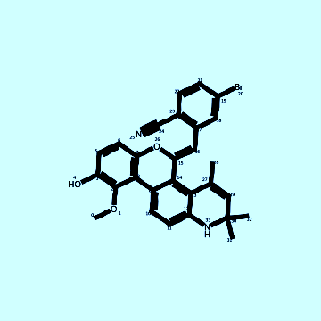 COc1c(O)ccc2c1-c1ccc3c(c1/C(=C/c1cc(Br)ccc1C#N)O2)C(C)=CC(C)(C)N3